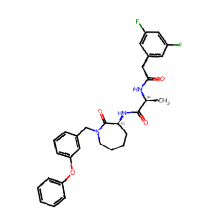 C[C@H](NC(=O)Cc1cc(F)cc(F)c1)C(=O)N[C@H]1CCCCN(Cc2cccc(Oc3ccccc3)c2)C1=O